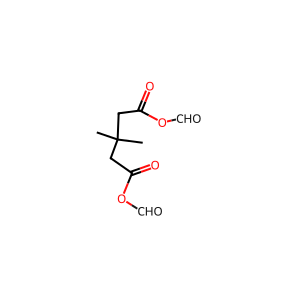 CC(C)(CC(=O)OC=O)CC(=O)OC=O